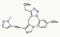 COCc1nnn2c1Cc1c(C#Cc3ccnn3C)ncn1-c1ccc(OC)cc1-2